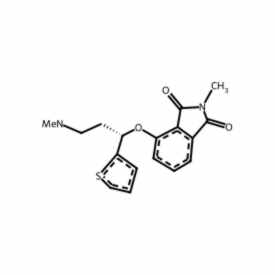 CNCC[C@H](Oc1cccc2c1C(=O)N(C)C2=O)c1cccs1